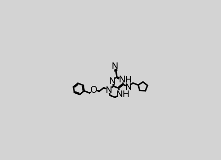 N#Cc1nc(NCC2CCCC2)c2c(n1)N(CCOCc1ccccc1)CCN2